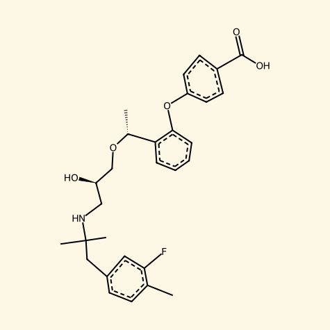 Cc1ccc(CC(C)(C)NC[C@@H](O)CO[C@H](C)c2ccccc2Oc2ccc(C(=O)O)cc2)cc1F